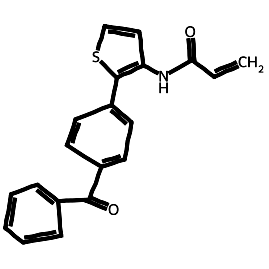 C=CC(=O)Nc1ccsc1-c1ccc(C(=O)c2ccccc2)cc1